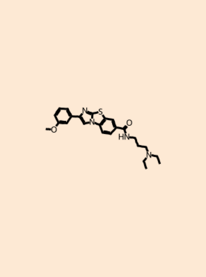 CCN(CC)CCCNC(=O)c1ccc2c(c1)sc1nc(-c3cccc(OC)c3)cn12